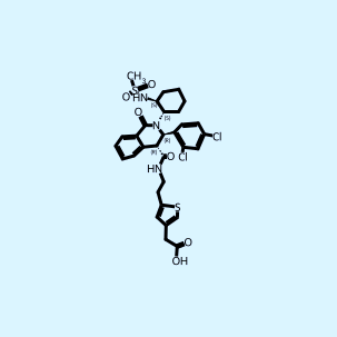 CS(=O)(=O)N[C@H]1CCCC[C@@H]1N1C(=O)c2ccccc2[C@@H](C(=O)NCCc2cc(CC(=O)O)cs2)[C@@H]1c1ccc(Cl)cc1Cl